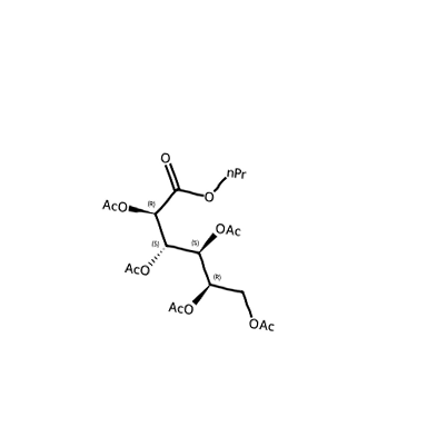 CCCOC(=O)[C@H](OC(C)=O)[C@@H](OC(C)=O)[C@@H](OC(C)=O)[C@@H](COC(C)=O)OC(C)=O